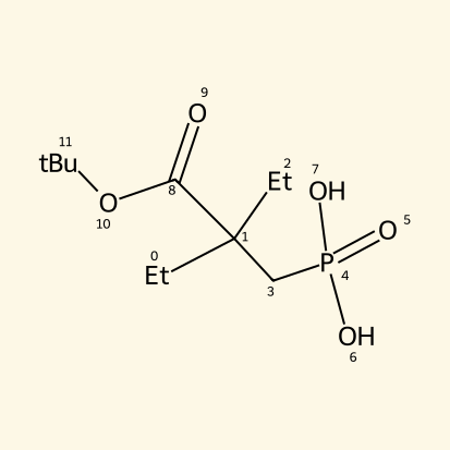 CCC(CC)(CP(=O)(O)O)C(=O)OC(C)(C)C